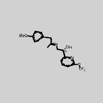 COc1ccc(C/C(C)=N/C[C@H](O)c2cccc(OC(F)(F)F)n2)cc1